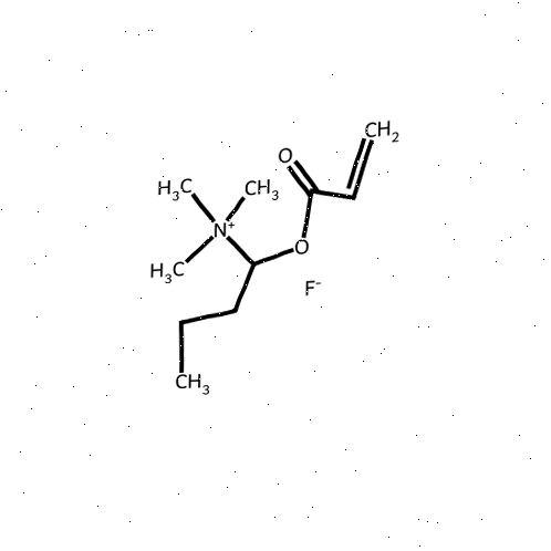 C=CC(=O)OC(CCC)[N+](C)(C)C.[F-]